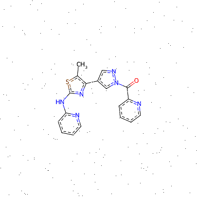 Cc1sc(Nc2ccccn2)nc1-c1cnn(C(=O)c2ccccn2)c1